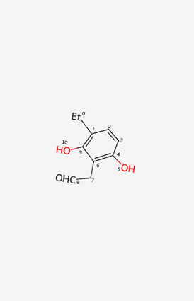 CCc1ccc(O)c(CC=O)c1O